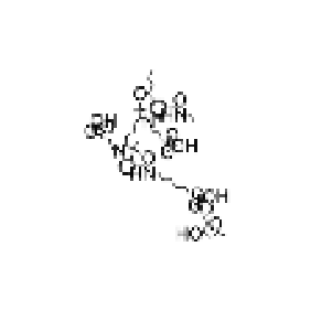 CCCC(=O)c1cc(C(=O)NCC)cc2c1C(C)(C)C(/C=C/C=C1/N(CCCS(=O)(=O)O)c3cccc(C(=O)NCCCCCCOP(=O)(O)OC[C@H]4O[C@@H](C)C[C@H]4O)c3C1(C)C)=[N+]2CCCS(=O)(=O)O